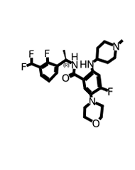 C[C@@H](NC(=O)c1cc(N2CCOCC2)c(F)cc1NC1CCN(C)CC1)c1cccc(C(F)F)c1F